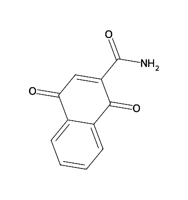 NC(=O)C1=CC(=O)c2ccccc2C1=O